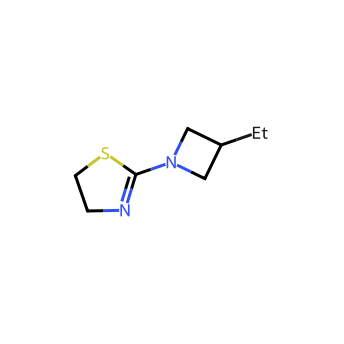 CCC1CN(C2=NCCS2)C1